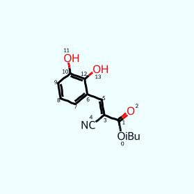 CC(C)COC(=O)/C(C#N)=C/c1cccc(O)c1O